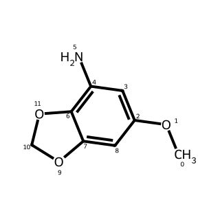 COc1cc(N)c2c(c1)OCO2